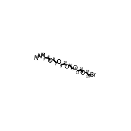 [N-]=[N+]=NCCOCCOCCOCCOCCOCCBr